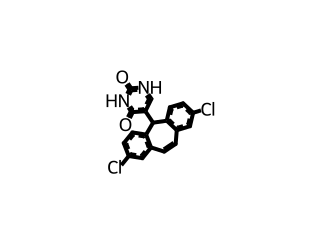 O=c1[nH]cc(C2c3ccc(Cl)cc3C=Cc3cc(Cl)ccc32)c(=O)[nH]1